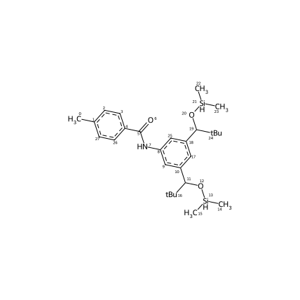 Cc1ccc(C(=O)Nc2cc(C(O[SiH](C)C)C(C)(C)C)cc(C(O[SiH](C)C)C(C)(C)C)c2)cc1